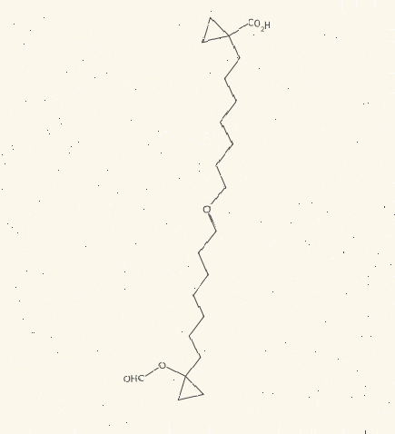 O=COC1(CCCCCCCOCCCCCCCC2(C(=O)O)CC2)CC1